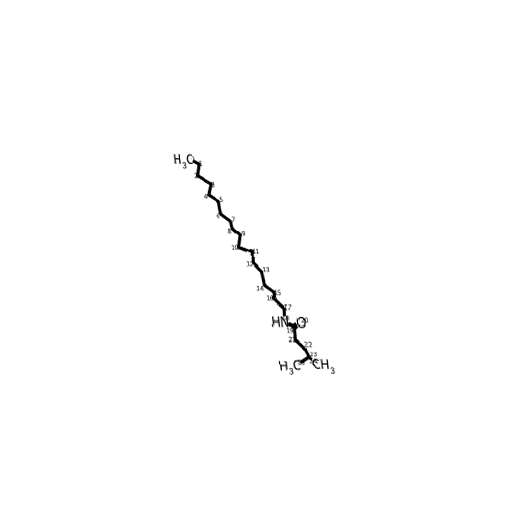 CCCCCCCCCCCCCCCCCCNC(=O)CCC(C)C